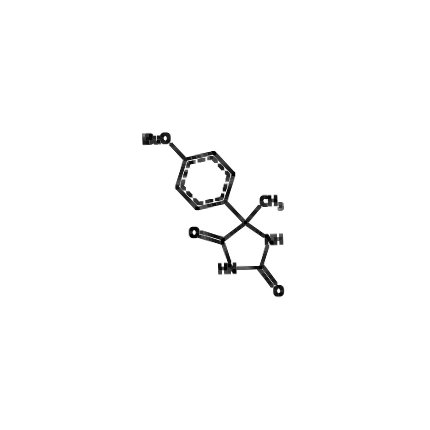 CC(C)COc1ccc(C2(C)NC(=O)NC2=O)cc1